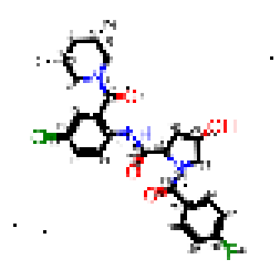 C[C@@H]1C[C@H](C)CN(C(=O)c2cc(Cl)ccc2NC(=O)C2CC(O)CN2C(=O)c2ccc(F)cc2)C1